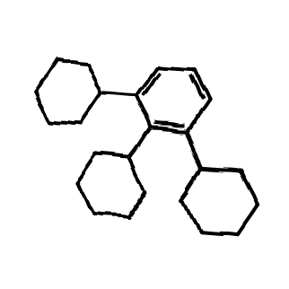 c1cc(C2CCCCC2)c(C2CCCCC2)c(C2CCCCC2)c1